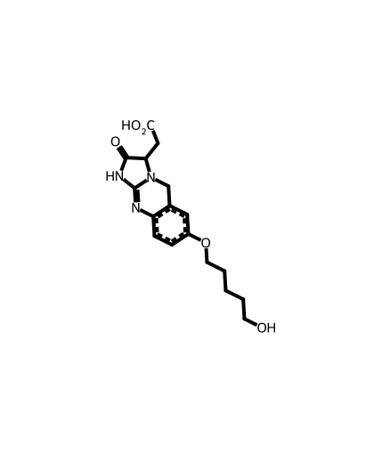 O=C(O)CC1C(=O)NC2=Nc3ccc(OCCCCCO)cc3CN21